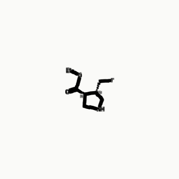 CCOC(=O)[C@@H]1CNC[C@H]1CF